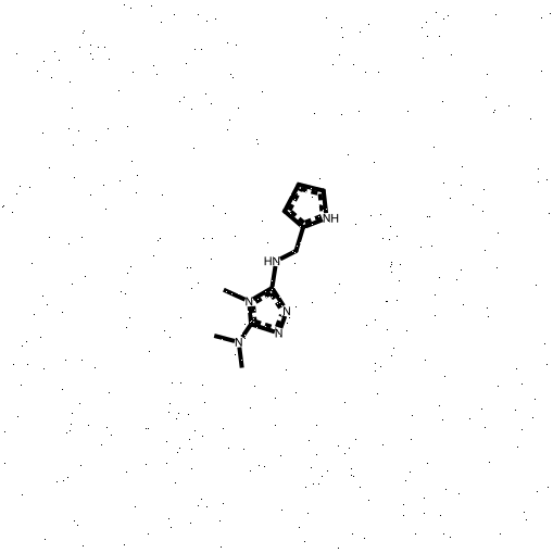 CN(C)c1nnc(NCc2ccc[nH]2)n1C